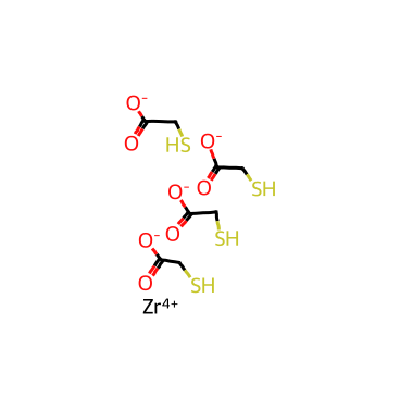 O=C([O-])CS.O=C([O-])CS.O=C([O-])CS.O=C([O-])CS.[Zr+4]